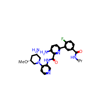 CO[C@@H]1C[C@H](N)CN(c2ccncc2NC(=O)c2nc(-c3cc(C(=O)NC(C)C)ccc3F)ccc2N)C1